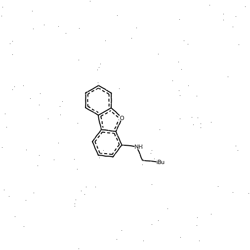 CCC(C)CNc1cccc2c1oc1ccccc12